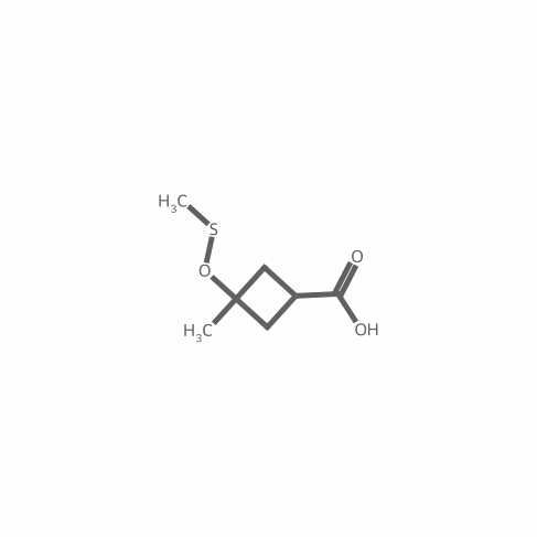 CSOC1(C)CC(C(=O)O)C1